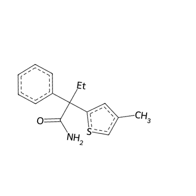 CCC(C(N)=O)(c1ccccc1)c1cc(C)cs1